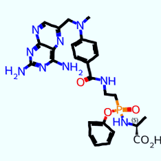 C[C@H](NP(=O)(CCNC(=O)c1ccc(N(C)Cc2cnc3nc(N)nc(N)c3n2)cc1)Oc1ccccc1)C(=O)O